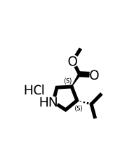 COC(=O)[C@@H]1CNC[C@H]1C(C)C.Cl